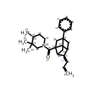 C=C/C=C1/C2CC3(c4ccccc4)CC1C(C(=O)N1CC[C@H](N)C(C)(C)C1)(C2)C3